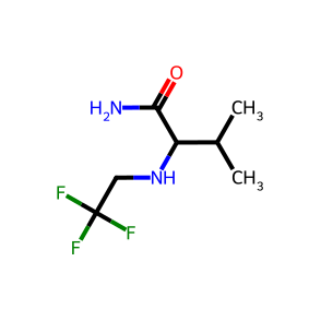 CC(C)C(NCC(F)(F)F)C(N)=O